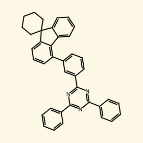 c1ccc(-c2nc(-c3ccccc3)nc(-c3cccc(-c4cccc5c4-c4ccccc4C54CCCCC4)c3)n2)cc1